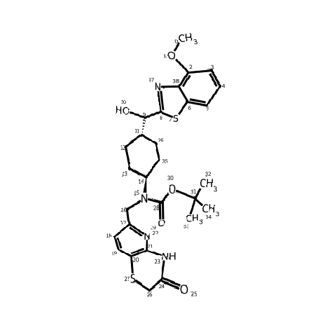 COc1cccc2sc(C(O)[C@H]3CC[C@H](N(Cc4ccc5c(n4)NC(=O)CS5)C(=O)OC(C)(C)C)CC3)nc12